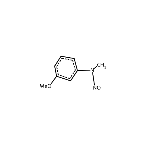 COc1cccc(N(C)N=O)c1